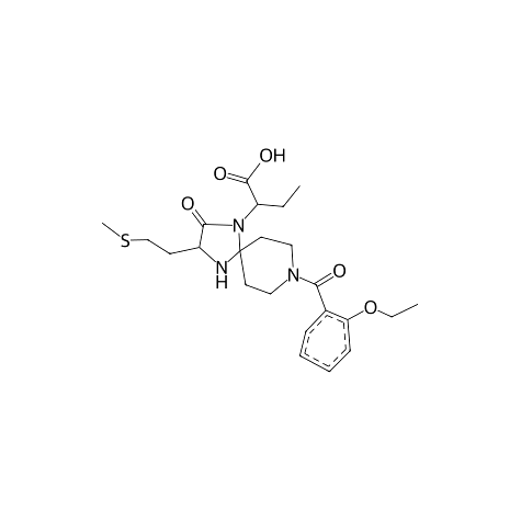 CCOc1ccccc1C(=O)N1CCC2(CC1)NC(CCSC)C(=O)N2C(CC)C(=O)O